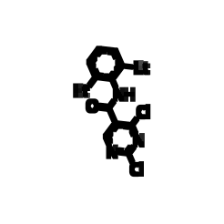 CCc1cccc(CC)c1NC(=O)c1cnc(Cl)nc1Cl